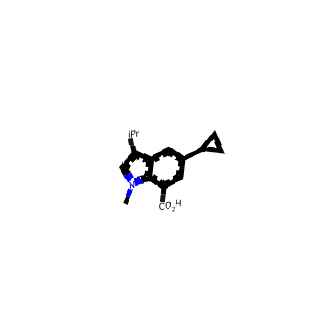 CC(C)c1cn(C)c2c(C(=O)O)cc(C3CC3)cc12